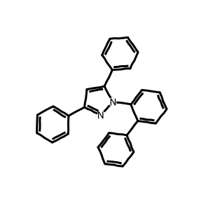 c1ccc(-c2cc(-c3ccccc3)n(-c3ccccc3-c3ccccc3)n2)cc1